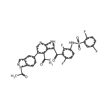 CC(=O)c1c(-c2ccc3c(cnn3C(C)=O)c2)cnc2[nH]cc(C(=O)c3c(F)ccc(NS(=O)(=O)c4cc(F)ccc4F)c3F)c12